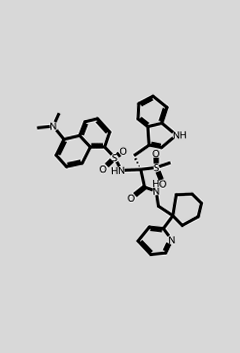 CN(C)c1cccc2c(S(=O)(=O)N[C@](Cc3c[nH]c4ccccc34)(C(=O)NCC3(c4ccccn4)CCCCC3)S(C)(=O)=O)cccc12